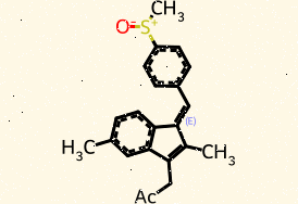 CC(=O)CC1=C(C)/C(=C/c2ccc([S+](C)[O-])cc2)c2ccc(C)cc21